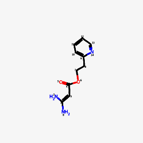 NC(N)=CC(=O)OCCc1ccccn1